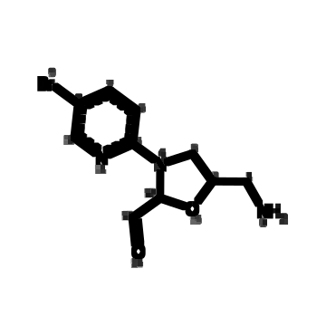 NCC1CN(c2ccc(Br)cn2)C(C=O)O1